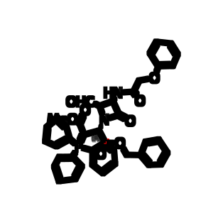 COC(=O)C([C@@H](C(=O)OCc1ccccc1)N1C(=O)C(NC(=O)COc2ccccc2)C1C=O)=P(c1ccccc1)(c1ccccc1)c1ccccc1